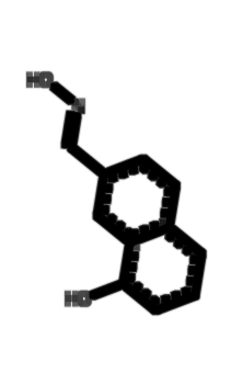 O/N=C/c1ccc2cccc(O)c2c1